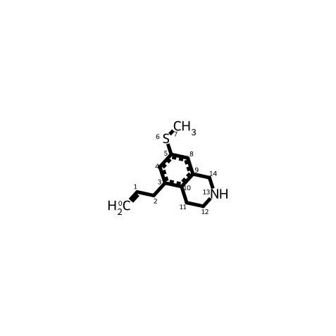 C=CCc1cc(SC)cc2c1CCNC2